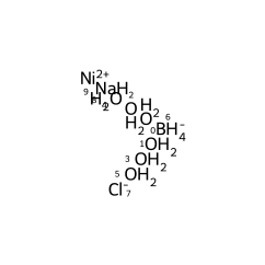 O.O.O.O.O.O.[BH4-].[Cl-].[NaH].[Ni+2]